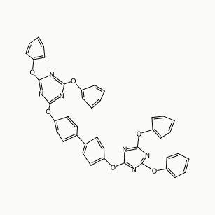 c1ccc(Oc2nc(Oc3ccccc3)nc(Oc3ccc(-c4ccc(Oc5nc(Oc6ccccc6)nc(Oc6ccccc6)n5)cc4)cc3)n2)cc1